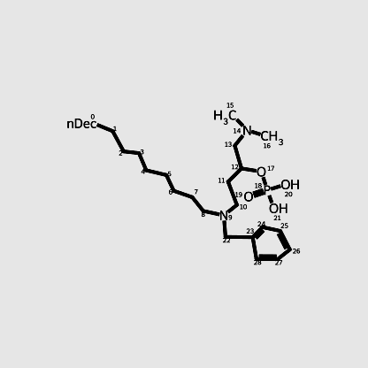 CCCCCCCCCCCCCCCCCCN(CCC(CN(C)C)OP(=O)(O)O)Cc1ccccc1